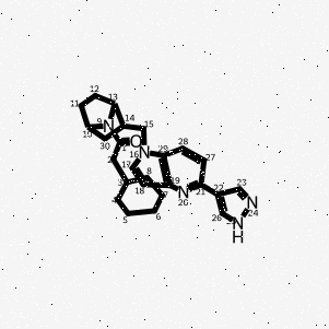 O=C(CC1CCCCC1)N1C2CCC1C(Cn1ccc3nc(-c4cn[nH]c4)ccc31)C2